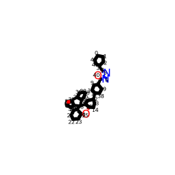 c1ccc(-c2nnc(-c3ccc(-c4ccc5c(c4)C4(c6ccccc6O5)c5ccccc5-c5ccccc54)cc3)o2)cc1